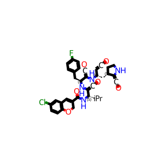 CC(C)[C@H](NC(=O)C1=Cc2cc(Cl)ccc2OC1)C(=C=O)N[C@@H](Cc1ccc(F)cc1)C(=C=O)N[C@H](C=C=O)C[C@@H]1CCNC1=C=O